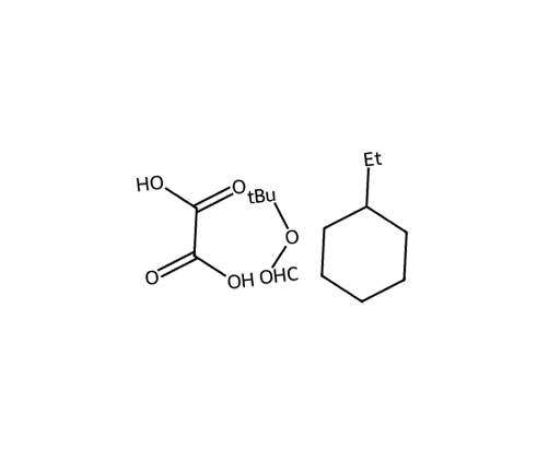 CC(C)(C)OC=O.CCC1CCCCC1.O=C(O)C(=O)O